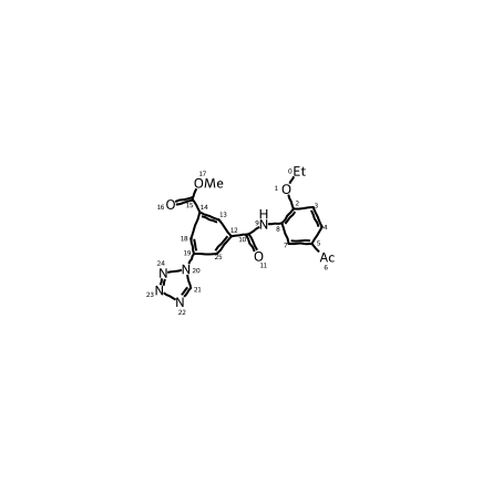 CCOc1ccc(C(C)=O)cc1NC(=O)c1cc(C(=O)OC)cc(-n2cnnn2)c1